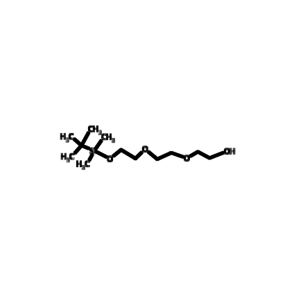 CC(C)(C)[Si](C)(C)OCCOCCOCCO